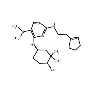 CN(C)c1cnc(NCCC2=CCCO2)nc1N[C@@H]1CC[C@H](O)C(C)(C)C1